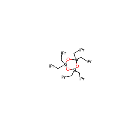 CC(C)C[Si]1(CC(C)C)O[Si](CC(C)C)(CC(C)C)O[Si](CC(C)C)(CC(C)C)O1